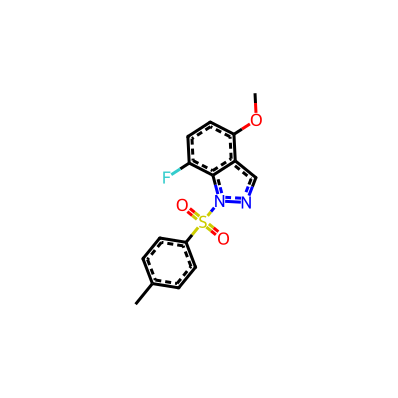 COc1ccc(F)c2c1cnn2S(=O)(=O)c1ccc(C)cc1